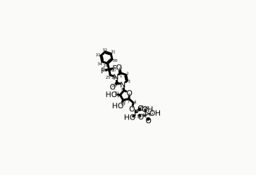 O=c1ccn(C2OC(COP(=O)(O)OP(=O)(O)O)C(O)C2O)c(=O)n1CC(F)(F)c1ccccc1